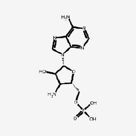 Nc1ncnc2c1ncn2[C@@H]1O[C@H](COP(=O)(O)O)C(N)C1O